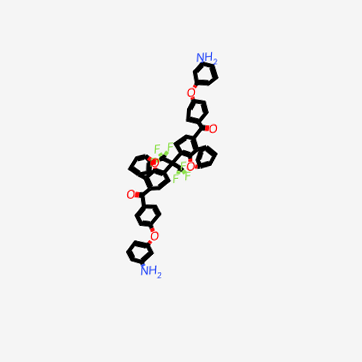 Nc1cccc(Oc2ccc(C(=O)c3ccc(C(c4ccc(C(=O)c5ccc(Oc6cccc(N)c6)cc5)c5c4Oc4ccc-5cc4)(C(F)(F)F)C(F)(F)F)c4c3-c3ccc(cc3)O4)cc2)c1